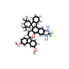 COc1ccc(C2(c3ccc(OC)cc3)C=Cc3c4c(c5cc6c(cc5c3O2)NC(F)(F)N6)-c2ccccc2C42CC(C)(C)CC(C)(C)C2)cc1